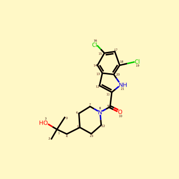 CC(C)(O)CC1CCN(C(=O)c2cc3cc(Cl)cc(Cl)c3[nH]2)CC1